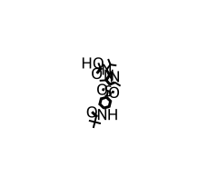 Cc1nn(N(C(=O)O)C(C)C)c(C)c1S(=O)(=O)c1ccc(NC(=O)C(C)(C)C)cc1